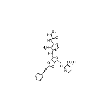 CCNC(=O)Nc1ncnc(NC2OC(COc3ncccc3C(=O)O)C3OC(C#Cc4ccccc4)OC23)c1N